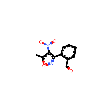 Cc1onc(-c2ccccc2C=O)c1[N+](=O)[O-]